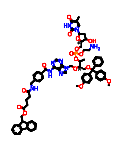 COc1ccc(C(OC[C@@H](OCn2cnc3c(NC(=O)c4ccc(CNC(=O)CCCC(=O)OCC5c6ccccc6-c6ccccc65)cc4)ncnc32)C(C)OP(=O)(OCCN)OC[C@H]2OC(n3cc(C)c(=O)[nH]c3=O)CC2O)(c2ccccc2)c2ccc(OC)cc2)cc1